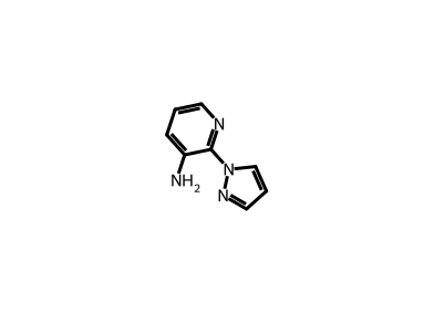 Nc1cccnc1-n1cccn1